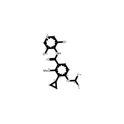 COc1c(C(=O)Nc2c(Cl)cncc2Cl)ccc(OC(F)F)c1C1CC1